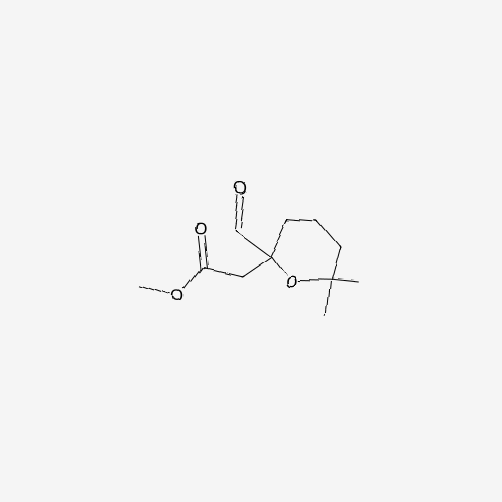 COC(=O)CC1(C=O)CCCC(C)(C)O1